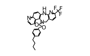 CCCCc1ccc(S(=O)(=O)N2Cc3ccc(C(F)(F)F)nc3Nc3ccc4ncccc4c32)cc1